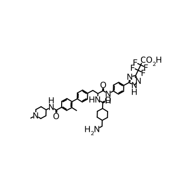 Cc1cc(C(=O)NC2CCN(C)CC2)ccc1-c1ccc(CC(NC(=O)C2CCC(CN)CC2)C(=O)Nc2ccc(-c3nc(C(F)(F)C(F)(F)C(=O)O)n[nH]3)cc2)cc1